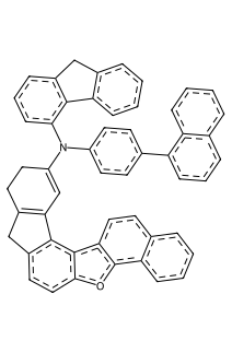 C1=C(N(c2ccc(-c3cccc4ccccc34)cc2)c2cccc3c2-c2ccccc2C3)CCC2=C1c1c(ccc3oc4c5ccccc5ccc4c13)C2